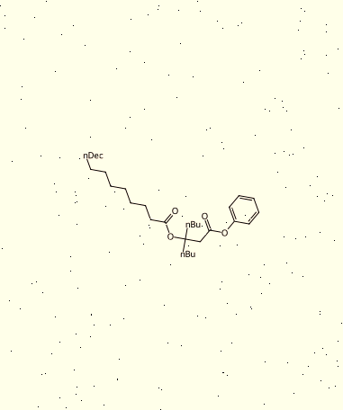 CCCCCCCCCCCCCCCCCC(=O)OC(CCCC)(CCCC)CC(=O)Oc1ccccc1